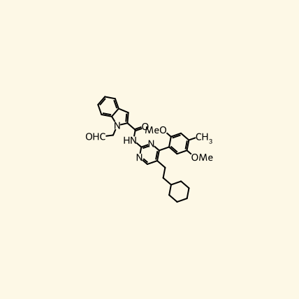 COc1cc(-c2nc(NC(=O)c3cc4ccccc4n3CC=O)ncc2CCC2CCCCC2)c(OC)cc1C